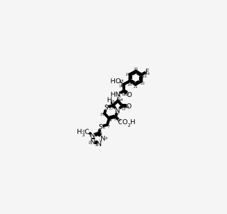 Cn1nnnc1SCC1=C(C(=O)O)N2C(=O)[C@@H](NC(=O)[C@H](O)c3ccc(F)cc3)[C@H]2SC1